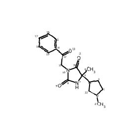 CC1CCC(C2(C)NC(=O)N(CC(=O)c3ccccc3)C2=O)C1